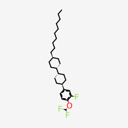 CCCCCCCCCC[C@H]1CC[C@H]([C@H]2CC[C@H](c3ccc(OC(F)F)c(F)c3)CC2)CC1